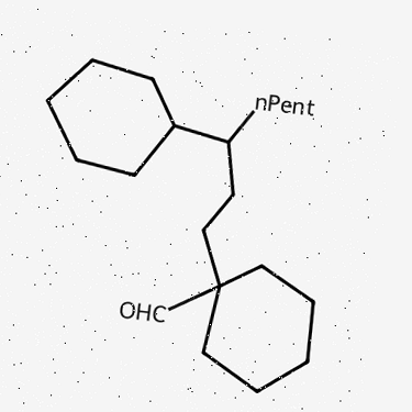 CCCCCC(CCC1(C=O)CCCCC1)C1CCCCC1